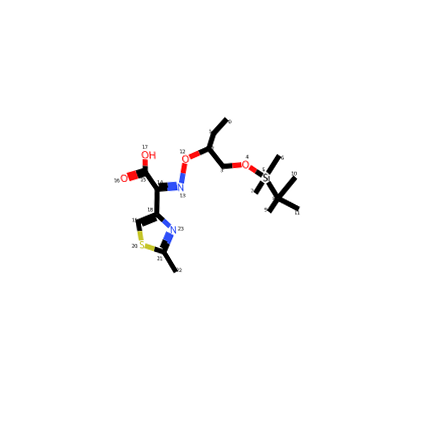 CCC(CO[Si](C)(C)C(C)(C)C)O/N=C(\C(=O)O)c1csc(C)n1